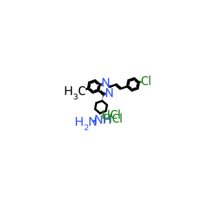 Cc1ccc2nc(C=Cc3ccc(Cl)cc3)nc([C@H]3CC[C@@H](NN)CC3)c2c1.Cl.Cl